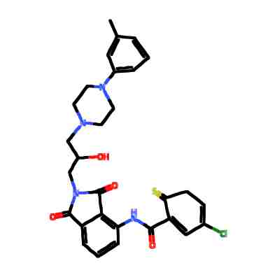 Cc1cccc(N2CCN(CC(O)CN3C(=O)c4cccc(NC(=O)C5=CC(Cl)=CCC5=S)c4C3=O)CC2)c1